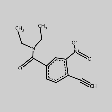 C#Cc1ccc(C(=O)N(CC)CC)cc1[N+](=O)[O-]